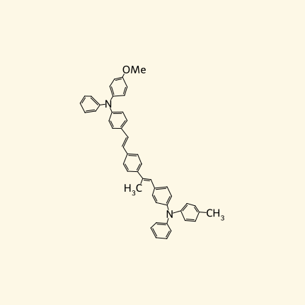 COc1ccc(N(c2ccccc2)c2ccc(C=Cc3ccc(C(C)=Cc4ccc(N(c5ccccc5)c5ccc(C)cc5)cc4)cc3)cc2)cc1